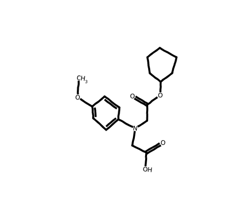 COc1ccc(N(CC(=O)O)CC(=O)OC2CCCCC2)cc1